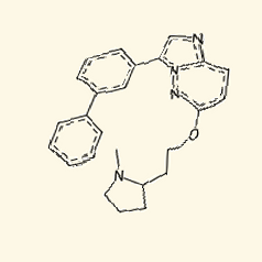 CN1CCCC1CCOc1ccc2ncc(-c3cccc(-c4ccccc4)c3)n2n1